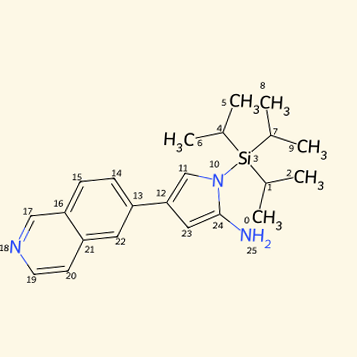 CC(C)[Si](C(C)C)(C(C)C)n1cc(-c2ccc3cnccc3c2)cc1N